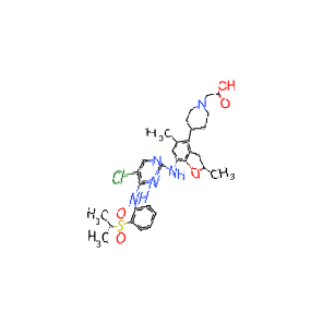 Cc1cc(Nc2ncc(Cl)c(Nc3ccccc3S(=O)(=O)C(C)C)n2)c2c(c1C1CCN(CC(=O)O)CC1)CC(C)O2